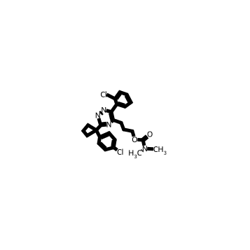 CN(C)C(=O)OCCCc1nc(C2(c3ccc(Cl)cc3)CCC2)nnc1-c1ccccc1Cl